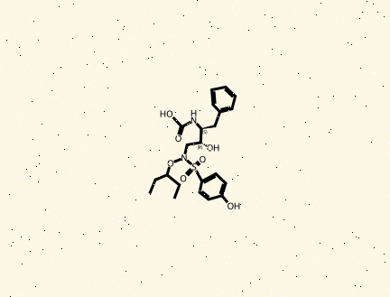 CCC(CC)ON(C[C@@H](O)[C@H](Cc1ccccc1)NC(=O)O)S(=O)(=O)c1ccc(O)cc1